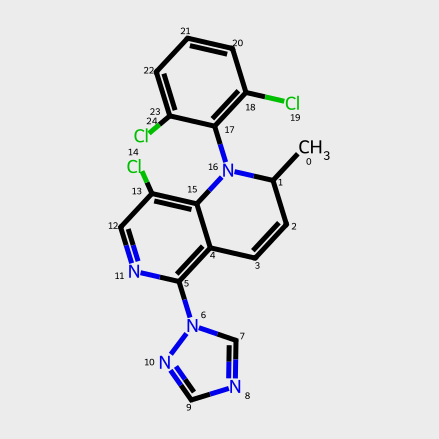 CC1C=Cc2c(-n3cncn3)ncc(Cl)c2N1c1c(Cl)cccc1Cl